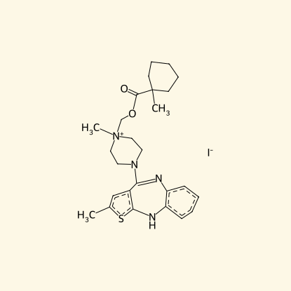 Cc1cc2c(s1)Nc1ccccc1N=C2N1CC[N+](C)(COC(=O)C2(C)CCCCC2)CC1.[I-]